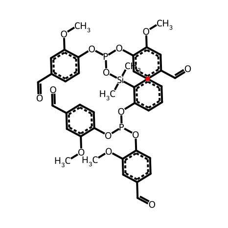 COc1cc(C=O)ccc1OP(Oc1ccc(C=O)cc1OC)Oc1ccccc1[Si](C)(C)OP(Oc1ccc(C=O)cc1OC)Oc1ccc(C=O)cc1OC